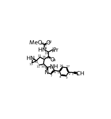 C#Cc1ccc(-c2cnc(C3C[C@@]4(CN4)CC3C(=O)C(NC(=O)OC)C(C)C)[nH]2)cc1